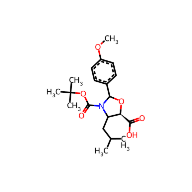 COc1ccc(C2O[C@@H](C(=O)O)C(CC(C)C)N2C(=O)OC(C)(C)C)cc1